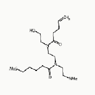 C=CCCC(=O)N(CCO)CCN(CCNC)C(=O)CCCCSC